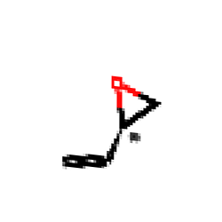 C=C[C@H]1CO1